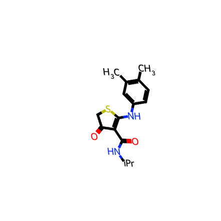 Cc1ccc(NC2=C(C(=O)NC(C)C)C(=O)CS2)cc1C